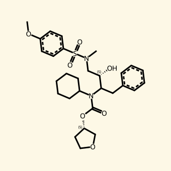 COc1ccc(S(=O)(=O)N(C)C[C@H](O)C(Cc2ccccc2)N(C(=O)O[C@H]2CCOC2)C2CCCCC2)cc1